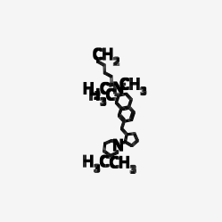 C=CCCCC(=C)N(C)C1(C)CCc2ccc(CC3CCCC3N3CCCC(C)(C)C3)cc2C1